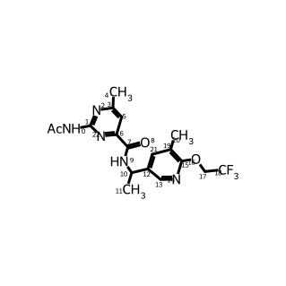 CC(=O)Nc1nc(C)cc(C(=O)NC(C)c2cnc(OCC(F)(F)F)c(C)c2)n1